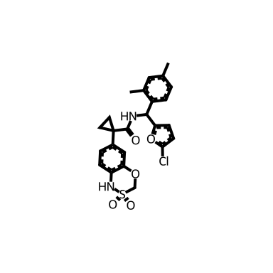 Cc1ccc(C(NC(=O)C2(c3ccc4c(c3)OCS(=O)(=O)N4)CC2)c2ccc(Cl)o2)c(C)c1